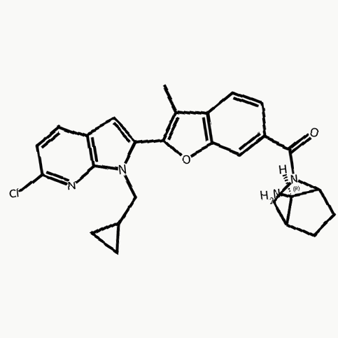 Cc1c(-c2cc3ccc(Cl)nc3n2CC2CC2)oc2cc(C(=O)N3CC4CCC3[C@@H]4N)ccc12